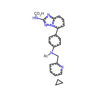 C1CC1.CC(=O)N(Cc1ccccn1)c1ccc(-c2cccc3nc(NC(=O)O)nn23)cc1